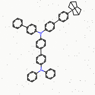 c1ccc(-c2ccc(N(c3ccc(-c4ccc(N(c5ccccc5)c5ccccc5)cc4)cc3)c3ccc(-c4ccc(C56CC7CC5CC7C6)cc4)cc3)cc2)cc1